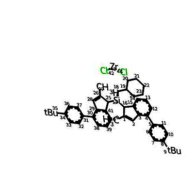 CC1=Cc2c(-c3ccc(C(C)(C)C)cc3)cccc2C1[SiH](CC1CCCCC1)C1C(C)=Cc2c(-c3ccc(C(C)(C)C)cc3)cccc21.[Cl][Zr][Cl]